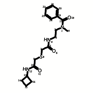 CN(CCNC(=O)CSCC(=O)NC1CCC1)C(=O)c1ccccc1